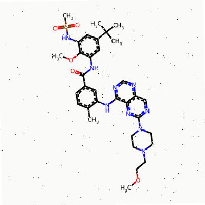 COCCN1CCN(c2ncc3ncnc(Nc4cc(C(=O)Nc5cc(C(C)(C)C)cc(NS(C)(=O)=O)c5OC)ccc4C)c3n2)CC1